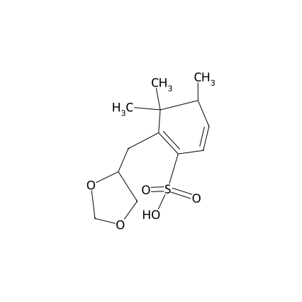 CC1C=CC(S(=O)(=O)O)=C(CC2COCO2)C1(C)C